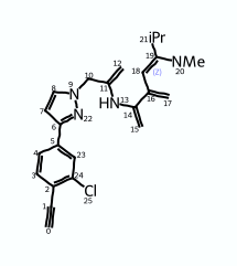 C#Cc1ccc(-c2ccn(CC(=C)NC(=C)C(=C)/C=C(\NC)C(C)C)n2)cc1Cl